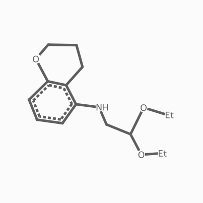 CCOC(CNc1cccc2c1CCCO2)OCC